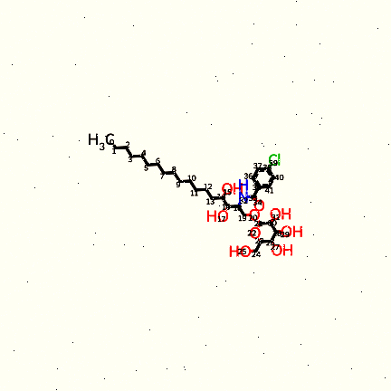 CCCCCCCCCCCCCCC(O)C(O)C(CO[C@@H]1OC(CO)C(O)C(O)C1O)NC(=O)c1ccc(Cl)cc1